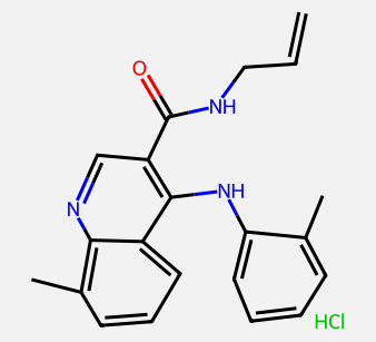 C=CCNC(=O)c1cnc2c(C)cccc2c1Nc1ccccc1C.Cl